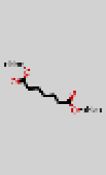 CCCCCCCCCOC(=O)CCCCCC(=O)OCCCCCCCCC